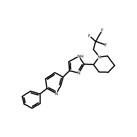 FC(F)(F)CN1CCCCC1c1nc(-c2ccc(-c3ccccc3)nc2)c[nH]1